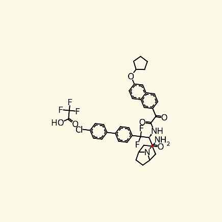 NC1CC2CCC(C1)N2C(=O)[C@H](NC(=O)C(=O)c1ccc2cc(OC3CCCC3)ccc2c1)C(F)(F)c1ccc(-c2ccc(Cl)cc2)cc1.O=C(O)C(F)(F)F